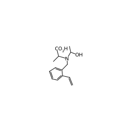 C=Cc1ccccc1CN(C(C)O)C(C)C(=O)O